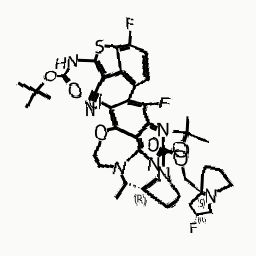 CC([C@H]1CCN1C(=O)OC(C)(C)C)N1CCOc2c(Cl)c(-c3ccc(F)c4sc(NC(=O)OC(C)(C)C)c(C#N)c34)c(F)c3nc(OC[C@@]45CCCN4C[C@H](F)C5)nc1c23